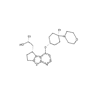 CC[C@@H](O)C[C@H]1CCc2sc3nccc(O[C@H]4CC[C@](CC)(N5CCOCC5)CC4)c3c21